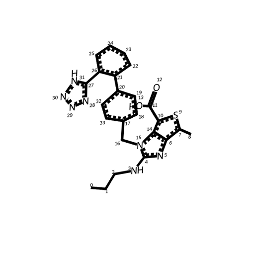 CCCNc1nc2c(C)sc(C(=O)O)c2n1Cc1ccc(-c2ccccc2-c2nnn[nH]2)cc1